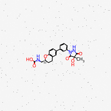 CC1(O)C(=O)NN(c2cccc(-c3ccc4c(c3)CC[C@@H](CNC(=O)O)O4)c2)C1=O